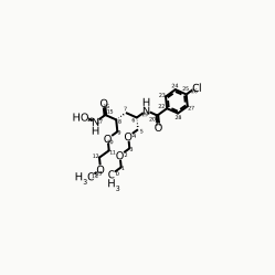 CCOCOC[C@H](C[C@H](COCCOC)C(=O)NO)NC(=O)c1ccc(Cl)cc1